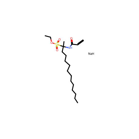 C=CC(=O)NC(C)(CCCCCCCCCCCC)S(=O)(=O)OCC.[NaH]